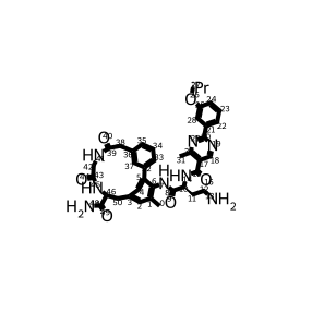 Cc1cc2cc(c1NC(=O)[C@H](CCN)NC(=O)c1cnc(-c3cccc(OC(C)C)c3)nc1C)-c1cccc(c1)CC(=O)NCC(=O)NC(C(N)=O)C2